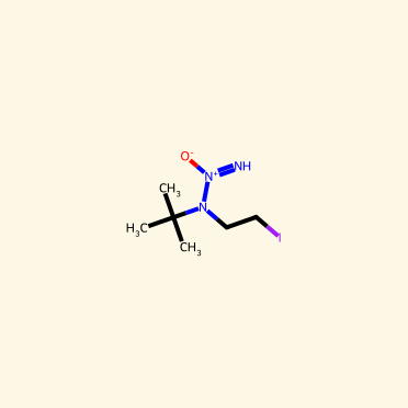 CC(C)(C)N(CCI)[N+](=N)[O-]